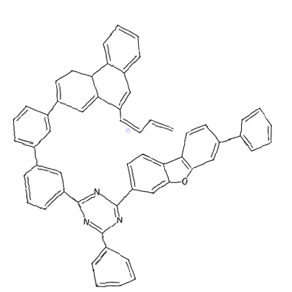 C=C/C=C\C1=Cc2ccccc2C2CC=C(c3cccc(-c4cccc(-c5nc(-c6ccccc6)nc(-c6ccc7c(c6)oc6cc(-c8ccccc8)ccc67)n5)c4)c3)C=C12